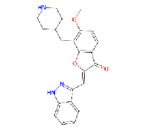 COc1ccc2c(c1CC1CCNCC1)O/C(=C\c1n[nH]c3ccccc13)C2=O